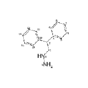 NNCC(c1ccccc1)c1ccccc1